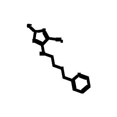 Nc1n[s+]([O-])nc1NCCSCc1ccccn1